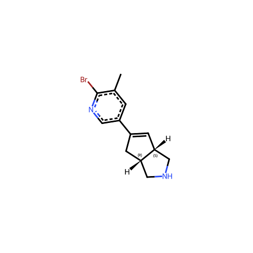 Cc1cc(C2=C[C@@H]3CNC[C@@H]3C2)cnc1Br